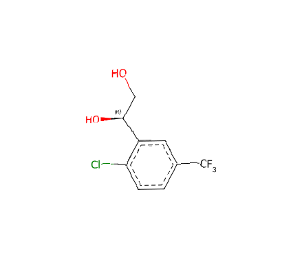 OC[C@H](O)c1cc(C(F)(F)F)ccc1Cl